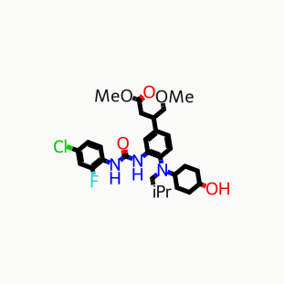 COCC(CC(=O)OC)c1ccc(N(CC(C)C)C2CCC(O)CC2)c(NC(=O)Nc2ccc(Cl)cc2F)c1